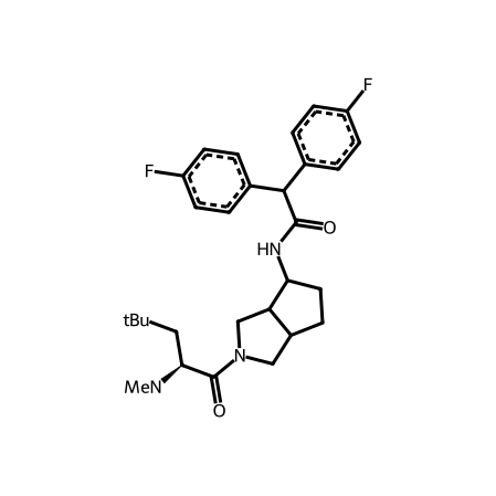 CN[C@@H](CC(C)(C)C)C(=O)N1CC2CCC(NC(=O)C(c3ccc(F)cc3)c3ccc(F)cc3)C2C1